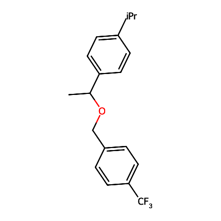 CC(C)c1ccc(C(C)OCc2ccc(C(F)(F)F)cc2)cc1